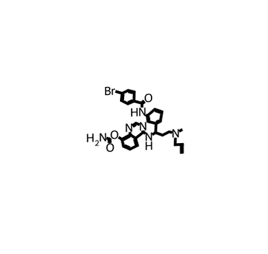 C=CCN(C)CCC(Nc1ncnc2c(OC(N)=O)cccc12)c1cccc(NC(=O)c2ccc(Br)cc2)c1